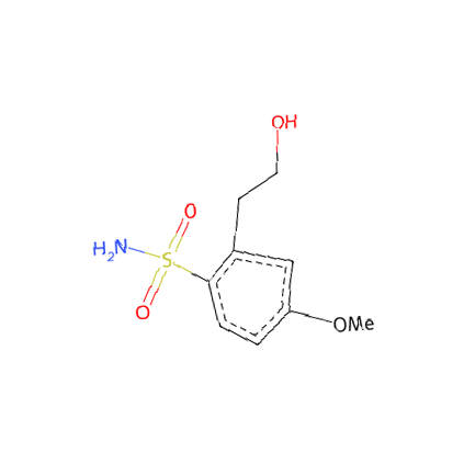 COc1ccc(S(N)(=O)=O)c(CCO)c1